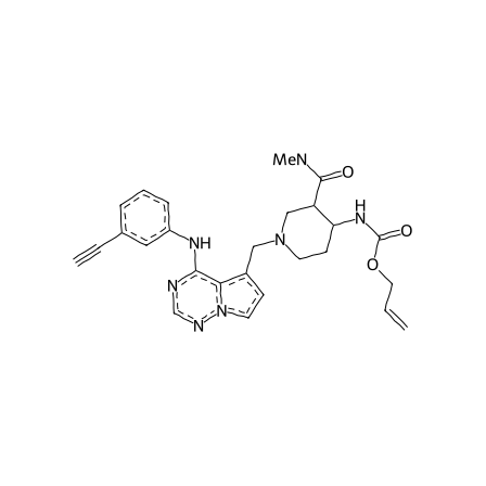 C#Cc1cccc(Nc2ncnn3ccc(CN4CCC(NC(=O)OCC=C)C(C(=O)NC)C4)c23)c1